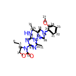 CC[C@H]1COC(=O)N1c1nc(C)nc(N[C@@H](C)c2cn(-c3ccccc3OC)cn2)n1